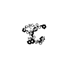 COc1cc(NC(=O)c2cc(N3CCN(C(=O)OCc4ccccc4)[C@@H](CC#N)C3)nc(OC[C@H]3CCCN3C)n2)c2ccccc2c1.NC(=O)c1ccncn1